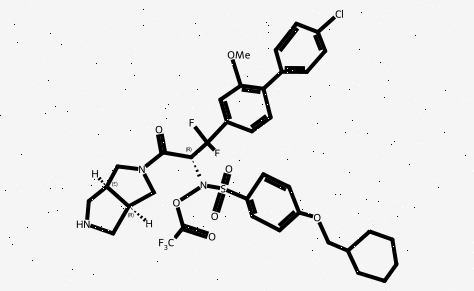 COc1cc(C(F)(F)[C@@H](C(=O)N2C[C@H]3CNC[C@H]3C2)N(OC(=O)C(F)(F)F)S(=O)(=O)c2ccc(OCC3CCCCC3)cc2)ccc1-c1ccc(Cl)cc1